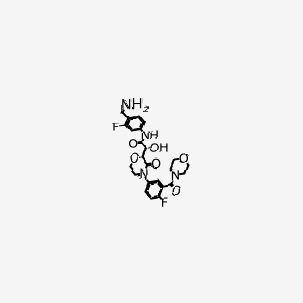 NCc1ccc(NC(=O)[C@H](O)[C@H]2OCCN(c3ccc(F)c(C(=O)N4CCOCC4)c3)C2=O)cc1F